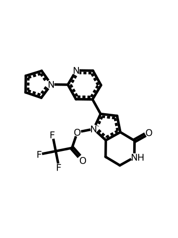 O=C1NCCc2c1cc(-c1ccnc(-n3cccc3)c1)n2OC(=O)C(F)(F)F